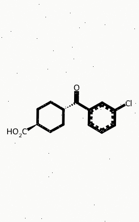 O=C(O)[C@H]1CC[C@H](C(=O)c2cccc(Cl)c2)CC1